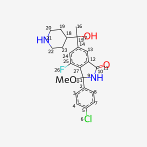 COC1(c2ccc(Cl)cc2)NC(=O)c2cc(C(C)(O)C3CCNCC3)cc(F)c21